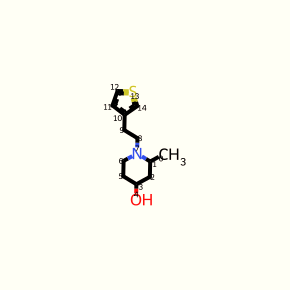 CC1CC(O)CCN1CCc1ccsc1